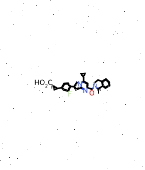 C[C@@H]1c2ccccc2CCN1C(=O)c1cc(C2CC2)n2cc(-c3ccc(C4C[C@@H]4C(=O)O)cc3F)cc2n1